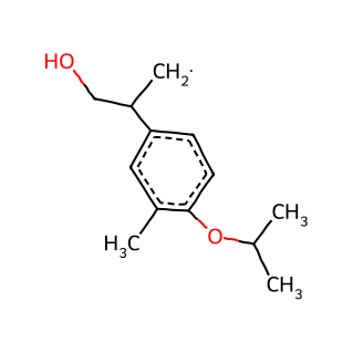 [CH2]C(CO)c1ccc(OC(C)C)c(C)c1